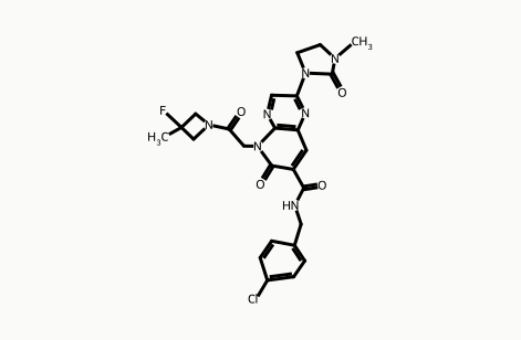 CN1CCN(c2cnc3c(cc(C(=O)NCc4ccc(Cl)cc4)c(=O)n3CC(=O)N3CC(C)(F)C3)n2)C1=O